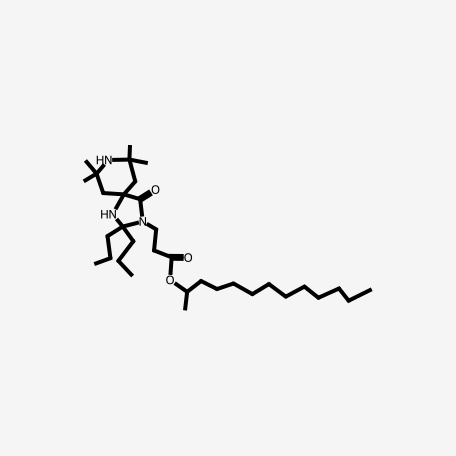 CCCCCCCCCCCC(C)OC(=O)CCN1C(=O)C2(CC(C)(C)NC(C)(C)C2)NC1(CCC)CCC